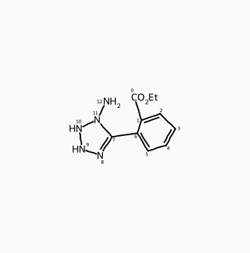 CCOC(=O)c1ccccc1C1=NNNN1N